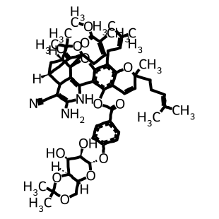 COC(=O)/C(C)=C\CC12OC(C)(C)[C@H]3C[C@H](C1=O)C1C(C#N)=C(N)NC4=C1C32Oc1c(CC=C(C)C)c2c(c(OC(=O)c3ccc(O[C@@H]5O[C@@H]6COC(C)(C)O[C@H]6[C@H](O)[C@H]5O)cc3)c14)C=CC(C)(CCC=C(C)C)O2